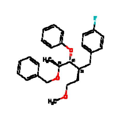 COCC[C@H](Cc1ccc(F)cc1)[C@@H](Oc1ccccc1)[C@H](C)OCc1ccccc1